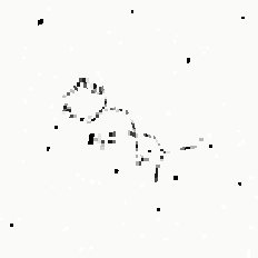 CC(O)([CH]C(F)F)Cc1ccccc1